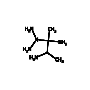 CC(N)C(C)(N)N(N)N